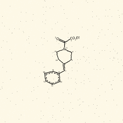 CCOC(=O)C(=O)N1CCC(=Cc2ccccc2)CC1